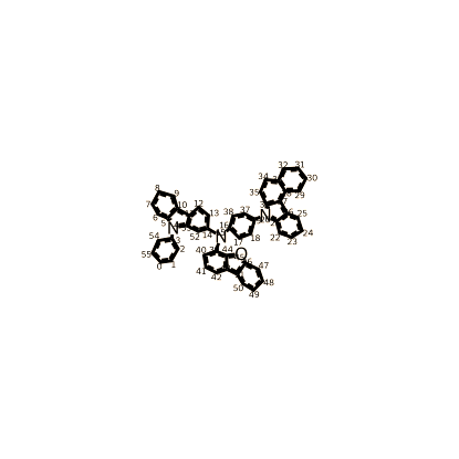 c1ccc(-n2c3ccccc3c3ccc(N(c4ccc(-n5c6ccccc6c6c7ccccc7ccc65)cc4)c4cccc5c4oc4ccccc45)cc32)cc1